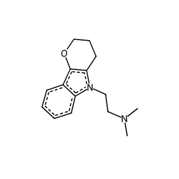 CN(C)CCn1c2c(c3ccccc31)OCCC2